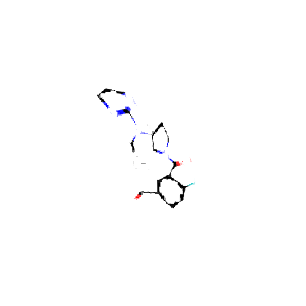 CCN(c1ncccn1)[C@H]1CCN(C(=O)c2cc(C=O)ccc2F)C1